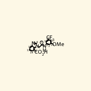 COc1cc(NC(=O)Cn2cnc3cccc(C(=O)O)c32)cc(C(F)(F)F)c1